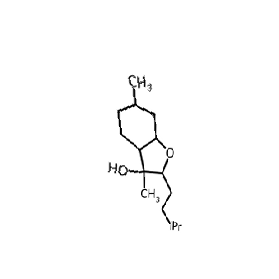 CC(C)CCC1OC2CC(C)CCC2C1(C)O